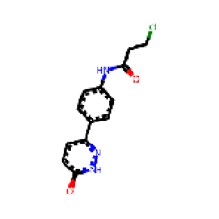 O=C(CCCl)Nc1ccc(-c2ccc(=O)[nH]n2)cc1